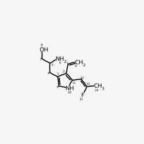 C=Cc1c(CC(N)CO)c[nH]c1C=C(C)F